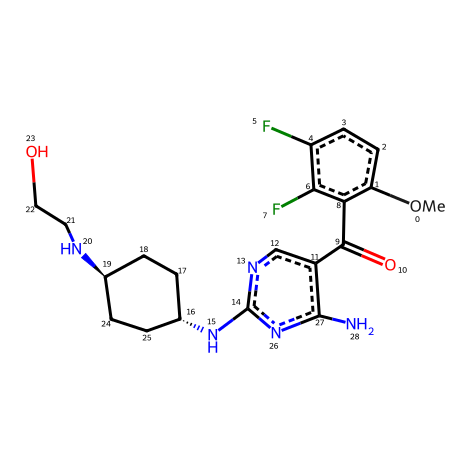 COc1ccc(F)c(F)c1C(=O)c1cnc(N[C@H]2CC[C@H](NCCO)CC2)nc1N